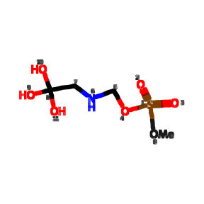 COS(=O)(=O)OCNCC(O)(O)O